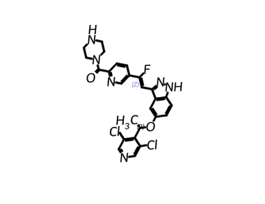 C[C@@H](Oc1ccc2[nH]nc(/C=C(\F)c3ccc(C(=O)N4CCNCC4)nc3)c2c1)c1c(Cl)cncc1Cl